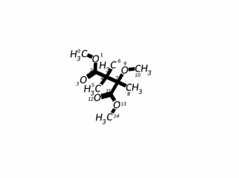 COC(=O)C(C)(C)C(C)(OC)C(=O)OC